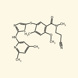 COc1cc(C)c(Sc2cnc(Nc3cc(C)cc(C)n3)s2)cc1C(=O)N(C)CCC#N